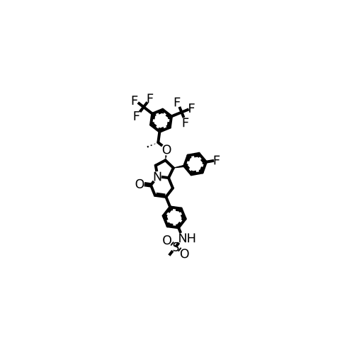 C[C@@H](O[C@H]1CN2C(=O)C=C(c3ccc(NS(C)(=O)=O)cc3)CC2[C@@H]1c1ccc(F)cc1)c1cc(C(F)(F)F)cc(C(F)(F)F)c1